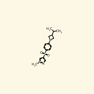 CC(C)C1CN(c2ccc(S(=O)(=O)c3cnn(C)c3)cc2)C1